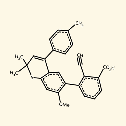 C#Cc1c(C(=O)O)cccc1-c1cc2c(cc1OC)SC(C)(C)C=C2c1ccc(C)cc1